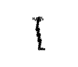 C=C(C)C(=O)OCCCCCCc1ccc(CCc2ccc(CCc3ccc(CCCCCCOC)cc3)cc2)cc1